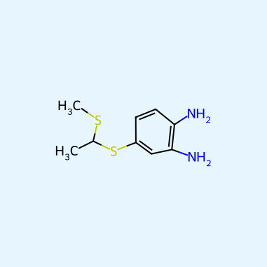 CSC(C)Sc1ccc(N)c(N)c1